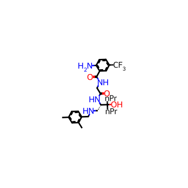 CCCC(O)(CCC)[C@H](CNCc1ccc(C)cc1C)NC(=O)CNC(=O)c1cc(C(F)(F)F)ccc1N